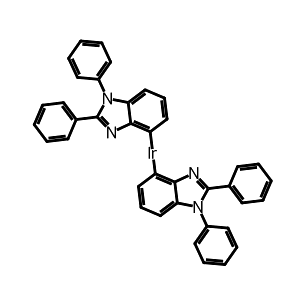 c1ccc(-c2nc3[c]([Ir][c]4cccc5c4nc(-c4ccccc4)n5-c4ccccc4)cccc3n2-c2ccccc2)cc1